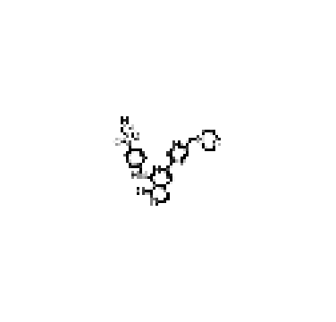 CS(=O)(=O)c1ccc(Nc2nc(-c3ccc(CN4CCOCC4)nc3)cc3c2C(=O)[N]C=C3)cc1